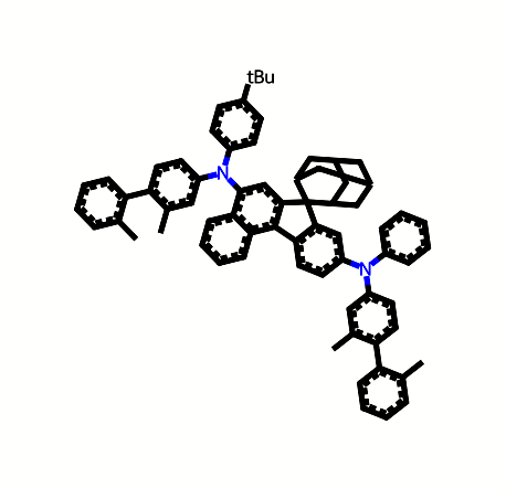 Cc1ccccc1-c1ccc(N(c2ccccc2)c2ccc3c(c2)C2(c4cc(N(c5ccc(C(C)(C)C)cc5)c5ccc(-c6ccccc6C)c(C)c5)c5ccccc5c4-3)C3CC4CC(C3)CC2C4)cc1C